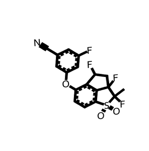 CC1(F)C2(F)CC(F)c3c(Oc4cc(F)cc(C#N)c4)ccc(c32)S1(=O)=O